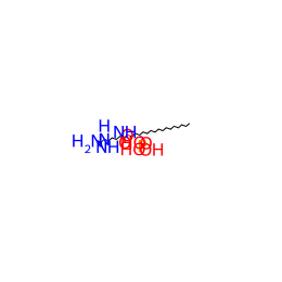 CCCCCCCCCCCCCCCCOC(=O)[C@@H](N)CCCNC(=N)N.O=P(O)(O)O